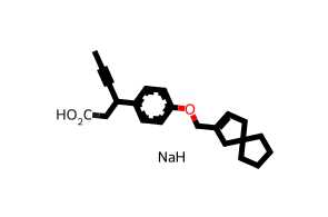 CC#CC(CC(=O)O)c1ccc(OCC2=CCC3(CCCC3)C2)cc1.[NaH]